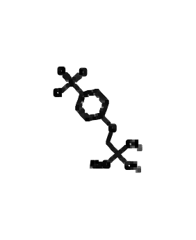 COC(C)(C)COc1ccc(S(=O)(=O)Cl)cc1